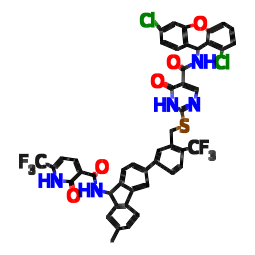 Cc1ccc2c(c1)C(NC(=O)c1ccc(C(F)(F)F)[nH]c1=O)c1ccc(-c3ccc(C(F)(F)F)c(CSc4ncc(C(=O)NC5c6ccc(Cl)cc6Oc6cccc(Cl)c65)c(=O)[nH]4)c3)cc1-2